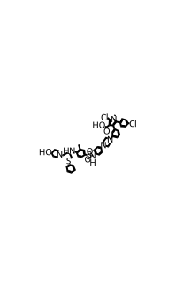 Cc1cc(S(=O)(=O)Nc2ccc(N3CCN(c4cccc(-c5c(C(=O)O)c(Cl)n(C)c5-c5ccc(Cl)cc5)c4)CC3)cc2)ccc1N[C@H](CCN1CCC(O)CC1)CSc1ccccc1